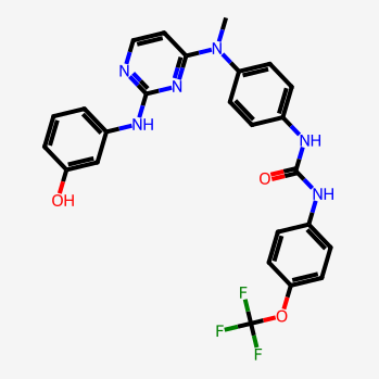 CN(c1ccc(NC(=O)Nc2ccc(OC(F)(F)F)cc2)cc1)c1ccnc(Nc2cccc(O)c2)n1